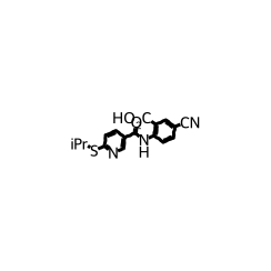 CC(C)Sc1ccc(C(=O)Nc2ccc(C#N)cc2C(=O)O)cn1